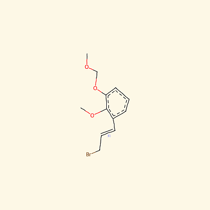 COCOc1cccc(/C=C/CBr)c1OC